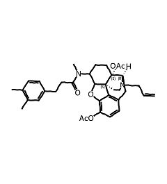 C=CCN1CC[C@]23c4c5ccc(OC(C)=O)c4OC2C(N(C)C(=O)CCc2ccc(C)c(C)c2)CC[C@@]3(OC(C)=O)[C@H]1C5